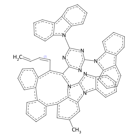 C=C/C=C\c1c(-c2nc(-n3c4ccccc4c4ccccc43)nc(-n3c4ccccc4c4ccccc43)n2)n2c3c(cc(C)cc3n3c4ccccc4nc23)c2ccccc2c2ccccc12